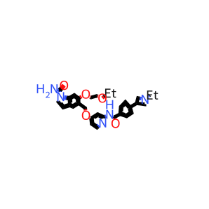 CCOCCOc1cc2c(ccn2C(N)=O)cc1COc1ccnc(NC(=O)c2ccc(C3CN(CC)C3)cc2)c1